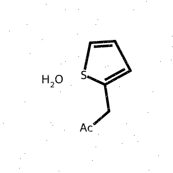 CC(=O)Cc1cccs1.O